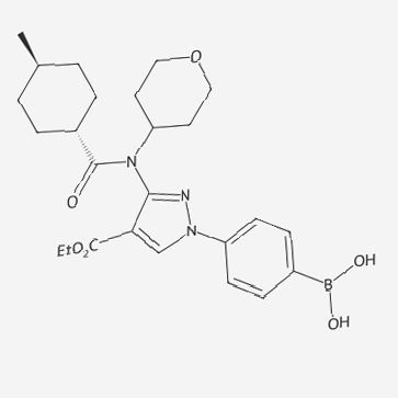 CCOC(=O)c1cn(-c2ccc(B(O)O)cc2)nc1N(C(=O)[C@H]1CC[C@H](C)CC1)C1CCOCC1